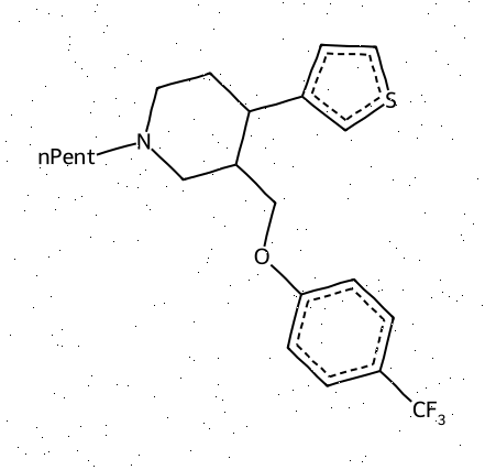 CCCCCN1CCC(c2ccsc2)C(COc2ccc(C(F)(F)F)cc2)C1